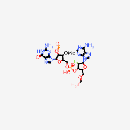 BCOCC1OC(n2cnc3c(N)ncnc32)C(F)C1OP(=O)(O)OCC1OC(n2cnc3c(=O)[nH]c(N)nc32)C(OP=O)C1OC